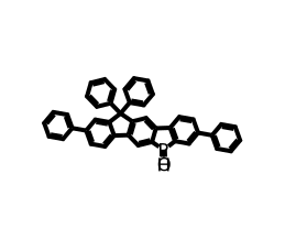 O=[PH]1c2cc(-c3ccccc3)ccc2-c2cc3c(cc21)-c1ccc(-c2ccccc2)cc1C3(c1ccccc1)c1ccccc1